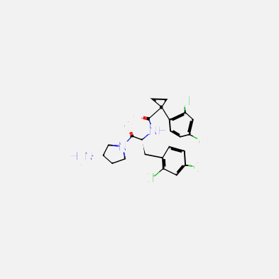 N[C@H]1CCN(C(=O)[C@H](Cc2ccc(Cl)cc2Cl)NC(=O)C2(c3ccc(Cl)cc3Cl)CC2)C1